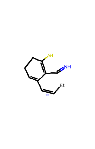 CC/C=C\C1=CCCC(S)=C1C=N